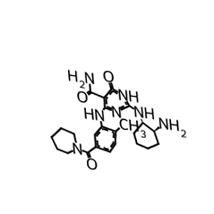 Cc1ccc(C(=O)N2CCCCC2)cc1Nc1nc(N[C@H]2CCCC[C@@H]2N)[nH]c(=O)c1C(N)=O